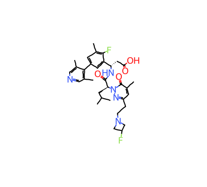 Cc1cc(-c2c(C)cncc2C)cc([C@H](CC(=O)O)NC(=O)[C@H](CC(C)C)n2nc(CCN3CC(F)C3)cc(C)c2=O)c1F